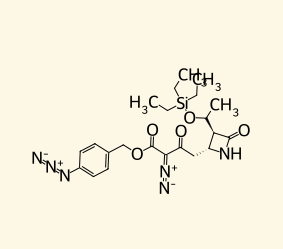 CC[Si](CC)(CC)OC(C)[C@H]1C(=O)N[C@@H]1CC(=O)C(=[N+]=[N-])C(=O)OCc1ccc(N=[N+]=[N-])cc1